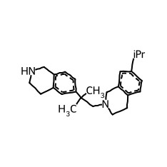 CC(C)c1ccc2c(c1)CN(CC(C)(C)c1ccc3c(c1)CCNC3)CC2